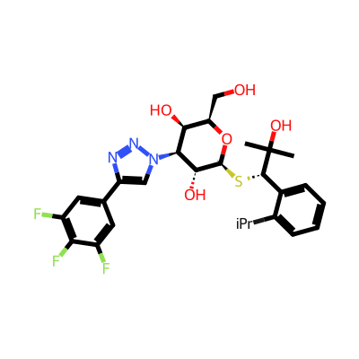 CC(C)c1ccccc1[C@H](S[C@@H]1O[C@H](CO)[C@H](O)[C@H](n2cc(-c3cc(F)c(F)c(F)c3)nn2)[C@H]1O)C(C)(C)O